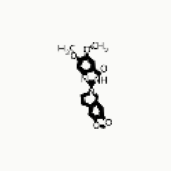 COc1cc2nc(N3CCc4cc5c(cc4C3)OCO5)[nH]c(=O)c2cc1OC